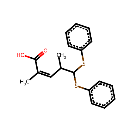 CC(=CC(C)C(Sc1ccccc1)Sc1ccccc1)C(=O)O